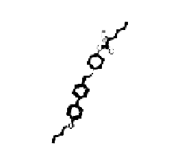 CCCCOc1ccc(-c2ccc(CC[C@H]3CC[C@H](OC(=O)[C@@H](F)CCCC)CC3)cc2)cc1